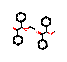 CCOC(C(=O)c1ccccc1)c1ccccc1.COC(C(=O)c1ccccc1)c1ccccc1